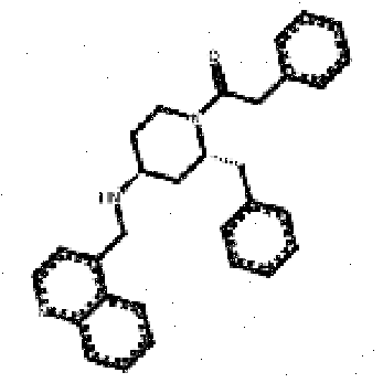 O=C(Cc1ccccc1)N1CC[C@H](NCc2ccnc3ccccc23)C[C@H]1Cc1ccccc1